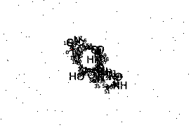 CCn1c(-c2cccnc2[C@H](C)OC)c2c3cc(ccc31)-c1cc(O)cc(c1)C[C@H](NC(=O)C(C(C)C)N(C)C(=O)[C@H]1CCN(C(=O)[C@@H]3N[C@@H]3C3CC3)C1)C(=O)N1CCC[C@H](N1)C(=O)OCC(C)(C)C2